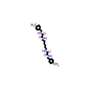 Cc1ccc(CNC(=O)C(=O)NCCCCCCNC(=O)C(=O)NCc2ccc(C)cc2)cc1